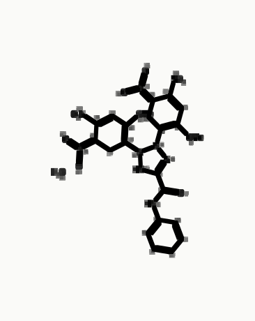 COC1=C(N2N=C(C(=O)Nc3ccccc3)NN2C2=C(OC)C=C([N+](=O)[O-])C(=S(=O)=O)C2)CC(=S(=O)=O)C([N+](=O)[O-])=C1.O